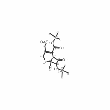 CC(=O)OCC1=C(C(=O)O[Si](C)(C)C)N2C(=O)C(N[Si](C)(C)C)[C@@H]2SC1